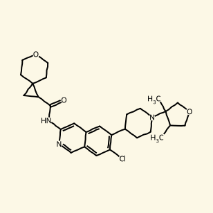 CC1COCC1(C)N1CCC(c2cc3cc(NC(=O)C4CC45CCOCC5)ncc3cc2Cl)CC1